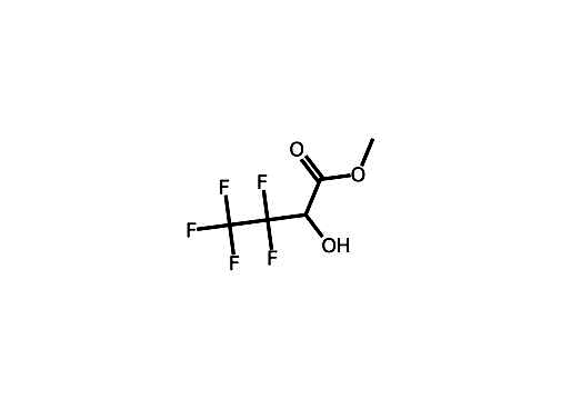 COC(=O)C(O)C(F)(F)C(F)(F)F